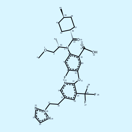 COC[C@H](C)N(c1cc(F)c(Oc2ncc(CCn3nccn3)cc2C(F)(F)F)cc1C(=O)O)C(=O)[C@H]1CC[C@H](C)CC1